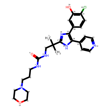 CC(C)(CNC(=O)NCCCN1CCOCC1)c1nc(-c2ccc(Cl)c(O)c2)c(-c2ccncc2)[nH]1